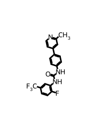 Cc1cc(-c2ccc(NC(=O)Nc3cc(C(F)(F)F)ccc3F)cc2)ccn1